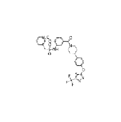 COc1ccc(C(=O)N2CCC(c3ccc(Oc4nnc(C(F)(F)F)s4)cc3)CC2)cc1NS(=O)(=O)Cc1ccccc1